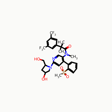 CN(C(=O)C(C)(C)c1cc(C(F)(F)F)cc(C(F)(F)F)c1)c1cnc(N2CC(O)CC2CO)cc1-c1ccccc1S(C)(=O)=O